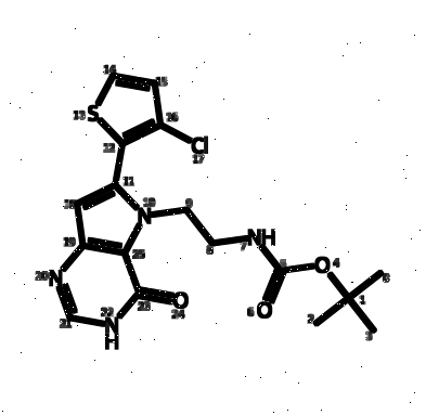 CC(C)(C)OC(=O)NCCn1c(-c2sccc2Cl)cc2nc[nH]c(=O)c21